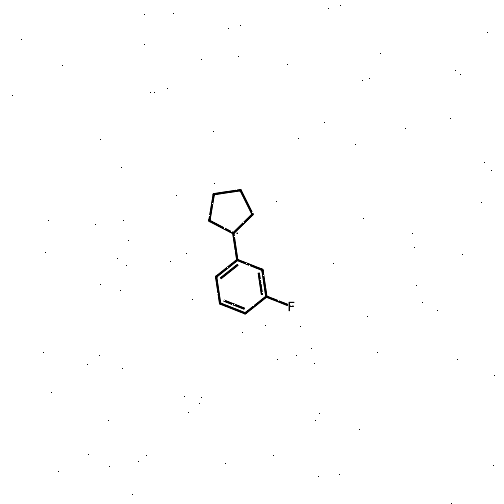 Fc1cccc([C]2CCCC2)c1